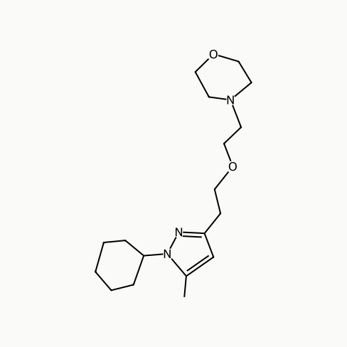 Cc1cc(CCOCCN2CCOCC2)nn1C1CCCCC1